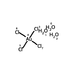 O.O.O.[Cl][Au]([Cl])([Cl])[Cl]